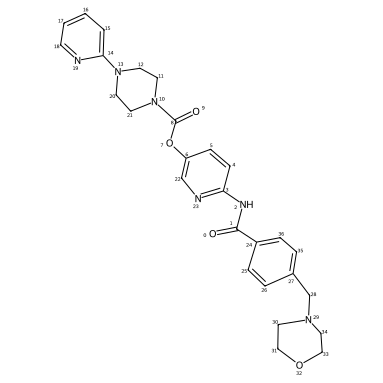 O=C(Nc1ccc(OC(=O)N2CCN(c3ccccn3)CC2)cn1)c1ccc(CN2CCOCC2)cc1